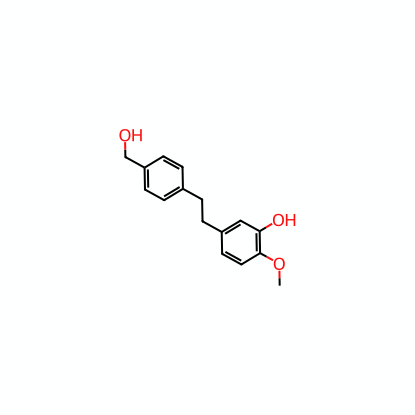 COc1ccc(CCc2ccc(CO)cc2)cc1O